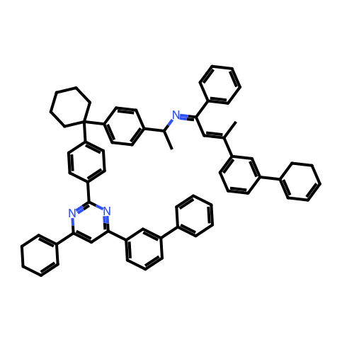 C/C(=C\C(=N/C(C)c1ccc(C2(c3ccc(-c4nc(C5=CCCC=C5)cc(-c5cccc(-c6ccccc6)c5)n4)cc3)CCCCC2)cc1)c1ccccc1)c1cccc(C2=CC=CCC2)c1